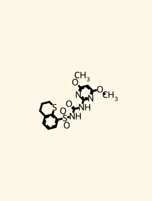 COc1cc(OC)nc(NC(=O)NS(=O)(=O)c2cccc3c2SCCC3)n1